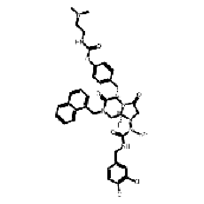 CCCN(C(=O)NCc1ccc(Cl)c(Cl)c1)N1CC(=O)N2[C@@H](Cc3ccc(OC(=O)NCCN(C)C)cc3)C(=O)N(Cc3cccc4ccccc34)C[C@@H]21